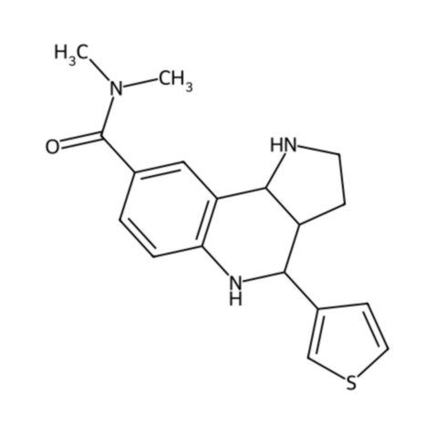 CN(C)C(=O)c1ccc2c(c1)C1NCCC1C(c1ccsc1)N2